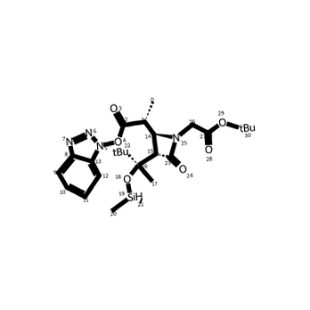 C[C@@H](C(=O)On1nnc2ccccc21)[C@@H]1[C@@H]([C@@](C)(O[SiH](C)C)C(C)(C)C)C(=O)N1CC(=O)OC(C)(C)C